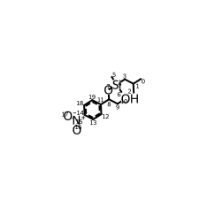 CC(C)C[Si](C)(C)OC(CO)c1ccc([N+](=O)[O-])cc1